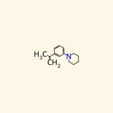 C=C(C)c1cccc(N2CCCCC2)c1